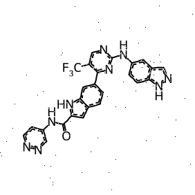 O=C(Nc1ccnnc1)c1cc2ccc(-c3nc(Nc4ccc5[nH]ncc5c4)ncc3C(F)(F)F)cc2[nH]1